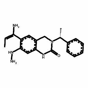 C/C=C(/N)c1cc2c(cc1NN)NC(=O)N([C@H](C)c1ccccc1)C2